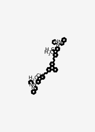 CC1(C)c2cc(/C=C/c3ccc4c5ccc(/C=C/c6ccc7c(c6)C(C)(C)c6cc(N(c8ccccn8)c8ccc9ccccc9n8)ccc6-7)cc5c5ccccc5c4c3)ccc2-c2ccc(N(C3=NC=CCC3)c3ccc4ccccc4n3)cc21